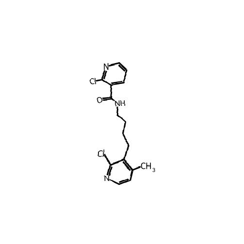 Cc1ccnc(Cl)c1CCCCNC(=O)c1cccnc1Cl